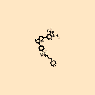 Nc1ncc(-c2ccc3ncc(-c4ccc(S(=O)(=O)NCCCN5CCOCC5)cc4)n3n2)cc1C(F)(F)F